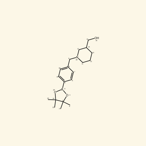 CC1(C)OB(c2ccc(CN3CCCC(CO)C3)cc2)OC1(C)C